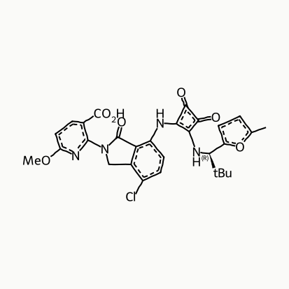 COc1ccc(C(=O)O)c(N2Cc3c(Cl)ccc(Nc4c(N[C@@H](c5ccc(C)o5)C(C)(C)C)c(=O)c4=O)c3C2=O)n1